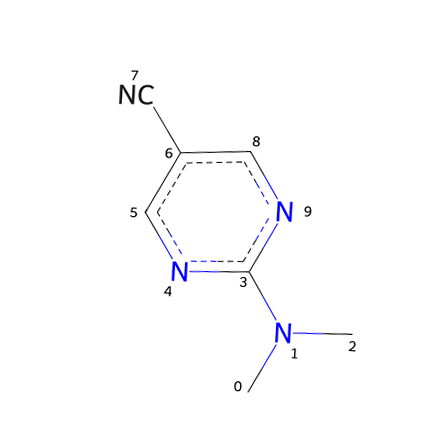 CN(C)c1ncc(C#N)cn1